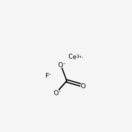 O=C([O-])[O-].[Ce+3].[F-]